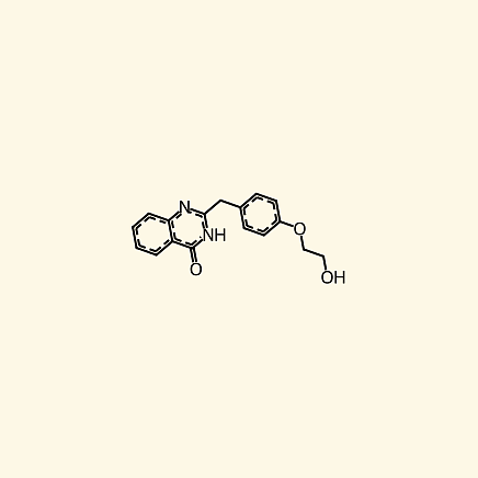 O=c1[nH]c(Cc2ccc(OCCO)cc2)nc2ccccc12